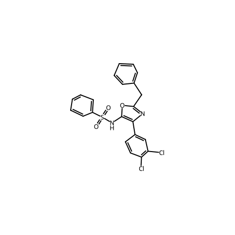 O=S(=O)(Nc1oc(Cc2ccccc2)nc1-c1ccc(Cl)c(Cl)c1)c1ccccc1